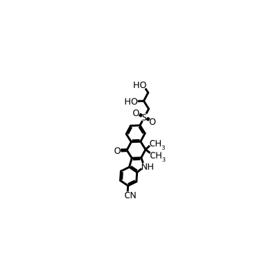 CC1(C)c2cc(S(=O)(=O)CC(O)CO)ccc2C(=O)c2c1[nH]c1cc(C#N)ccc21